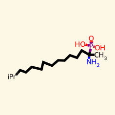 CC(C)CCCCCCCCCCCC(C)(N)P(=O)(O)O